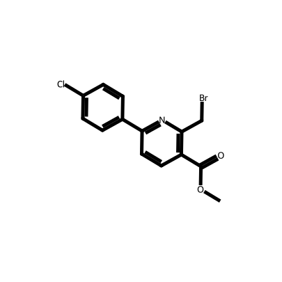 COC(=O)c1ccc(-c2ccc(Cl)cc2)nc1CBr